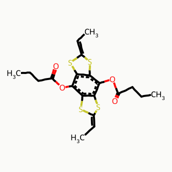 CC=C1Sc2c(OC(=O)CCC)c3c(c(OC(=O)CCC)c2S1)SC(=CC)S3